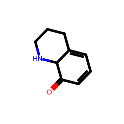 O=C1C=CC=C2CCCNC12